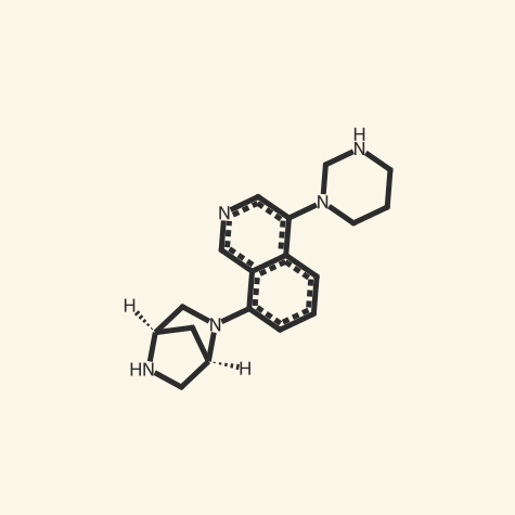 c1cc(N2C[C@H]3C[C@@H]2CN3)c2cncc(N3CCCNC3)c2c1